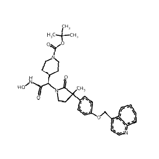 CC(C)(C)OC(=O)N1CCC([C@H](C(=O)NO)N2CCC(C)(c3ccc(OCc4ccnc5ccccc45)cc3)C2=O)CC1